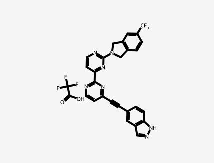 FC(F)(F)c1ccc2c(c1)CN(c1nccc(-c3nccc(C#Cc4ccc5[nH]ncc5c4)n3)n1)C2.O=C(O)C(F)(F)F